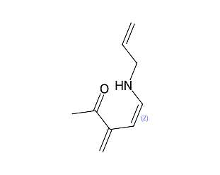 C=CCN/C=C\C(=C)C(C)=O